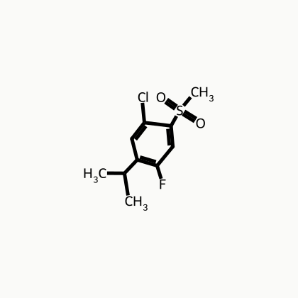 CC(C)c1cc(Cl)c(S(C)(=O)=O)cc1F